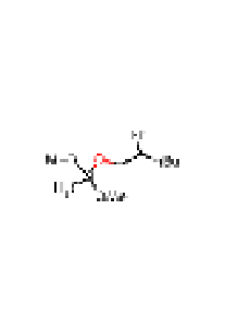 CCCCC(CC)CO[Si](C)(OC)OC